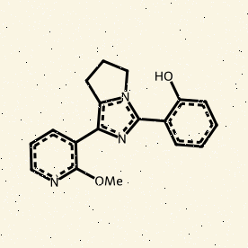 COc1ncccc1-c1nc(-c2ccccc2O)n2c1CCC2